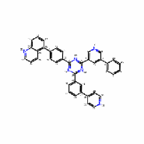 c1ccc(-c2cncc(-c3nc(-c4ccc(-c5cccc6ncccc56)cc4)nc(-c4cccc(-c5ccncc5)c4)n3)c2)cc1